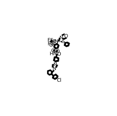 O=C(NS(=O)(=O)c1ccc(N[C@@H](CSc2ccccc2)CN2CCOCC2)c(S(=O)(=O)C(F)(F)F)c1)c1ccc(N2CCN(CC3=C(c4ccc(Cl)cc4)CCCC3)CC2)cc1